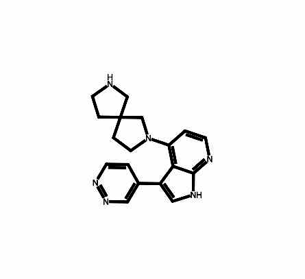 c1cc(-c2c[nH]c3nccc(N4CCC5(CCNC5)C4)c23)cnn1